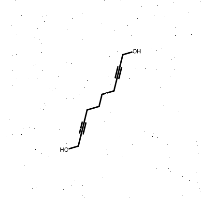 OCC#CCCCCC#CCO